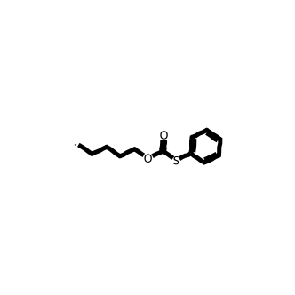 [CH2]CCCCOC(=O)Sc1ccccc1